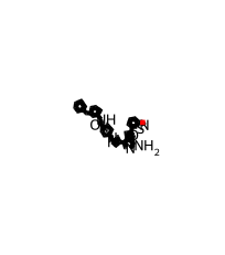 Nc1ncc(-c2cnn(C3CCN(C(=O)Nc4cccc(Cc5ccccc5)c4)CC3)c2)c2cc(-c3cccc4cnsc34)oc12